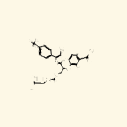 NC(=O)c1c(F)ccc(OC(COC(=O)NCC(=O)O)c2nc(-c3ccc(C(F)(F)F)cc3)c(Br)o2)c1F